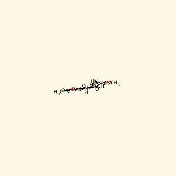 COCCOCCOCCOCCC(=O)NCCCC[C@H](NC(=N)SSCSSCSSC)C(=O)O